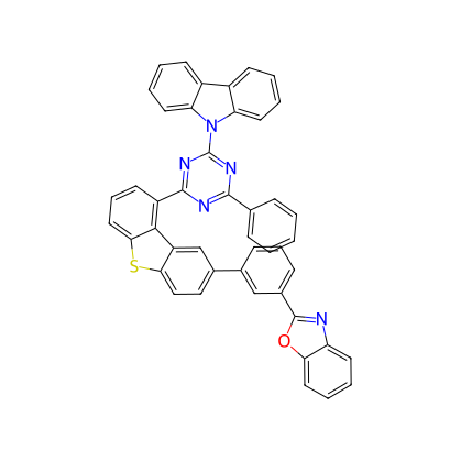 c1ccc(-c2nc(-c3cccc4sc5ccc(-c6cccc(-c7nc8ccccc8o7)c6)cc5c34)nc(-n3c4ccccc4c4ccccc43)n2)cc1